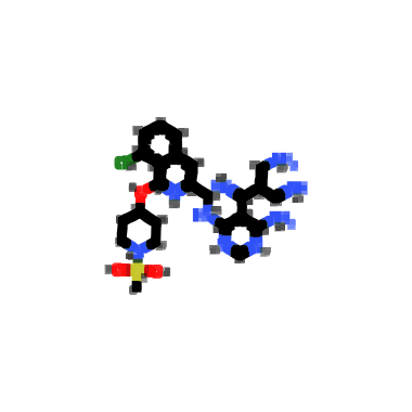 CS(=O)(=O)N1CCC(Oc2nc(CNc3ncnc(N)c3C(=N)/C(C=N)=C/N)cc3cccc(Cl)c23)CC1